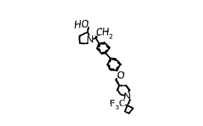 C=C(c1ccc(-c2ccc(OCC3CCN(CC4(C(F)(F)F)CCC4)CC3)cc2)cc1)N1CCCC1CO